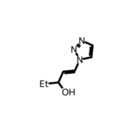 CCC(O)C=Cn1ccnn1